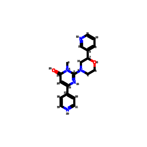 Cn1c(N2CCOC(c3cccnc3)C2)nc(-c2ccncc2)cc1=O